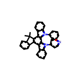 CC1(C)c2ccccc2-c2c1c1c3ccccc3n(-c3ccccc3)c1c1c2c2ccccc2n1-c1ccncc1